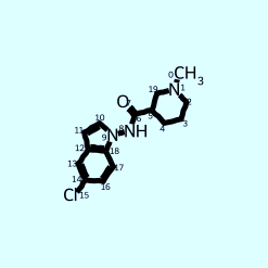 CN1CCCC(C(=O)Nn2ccc3cc(Cl)ccc32)C1